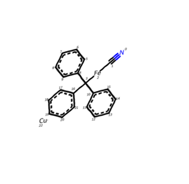 N#[C][Fe][C](c1ccccc1)(c1ccccc1)c1ccccc1.[Cu]